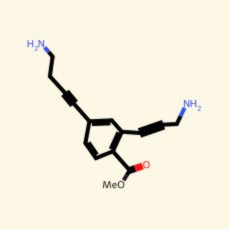 COC(=O)c1ccc(C#CCCN)cc1C#CCN